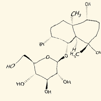 CC(C)[C@@H]1CC[C@@]2(C)[C@H](O)CC[C@](C)(O)[C@H]2[C@@H]1O[C@@H]1O[C@H](CO)[C@@H](O)[C@H](O)[C@H]1O